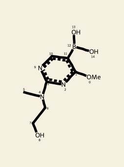 COc1nc(N(C)CCO)ncc1B(O)O